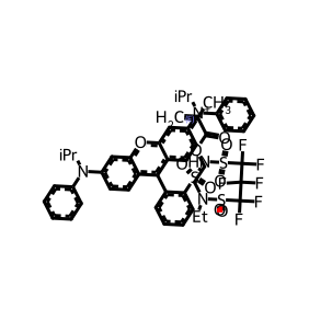 C=C(C)C(=O)OCCN(CC)S(=O)(=O)C(F)(F)C(F)(F)C(F)(F)S(=O)(=O)NS(=O)(=O)c1ccccc1-c1c2cc/c(=[N+](\c3ccccc3)C(C)C)cc-2oc2cc(N(c3ccccc3)C(C)C)ccc12